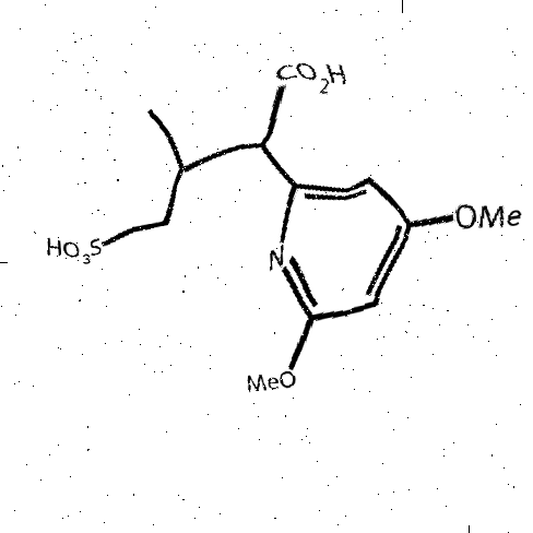 COc1cc(OC)nc(C(C(=O)O)C(C)CS(=O)(=O)O)c1